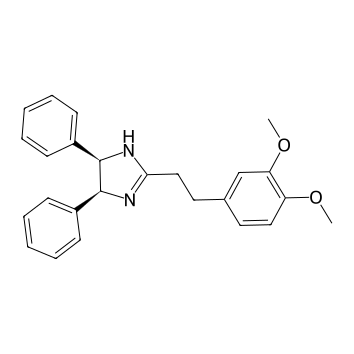 COc1ccc(CCC2=N[C@@H](c3ccccc3)[C@@H](c3ccccc3)N2)cc1OC